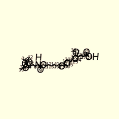 CCO[Si](CCCNC(=O)OCCCCCCOc1ccc(-c2ccc(/C=C/C(=O)O)c(OC)c2)cc1)(OCC)OCC